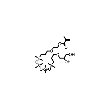 C=C(C)C(=O)OCCOCCC[Si](C)(C)O[Si](C)(C)O[Si](C)(C)O[Si](C)(C)CCCOCC(O)CO